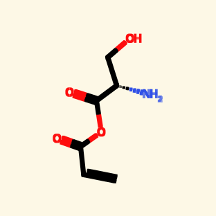 C=CC(=O)OC(=O)[C@@H](N)CO